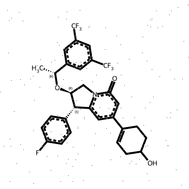 C[C@@H](O[C@H]1Cn2c(cc(C3=CCC(O)CC3)cc2=O)[C@@H]1c1ccc(F)cc1)c1cc(C(F)(F)F)cc(C(F)(F)F)c1